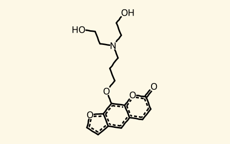 O=c1ccc2cc3ccoc3c(OCCCN(CCO)CCO)c2o1